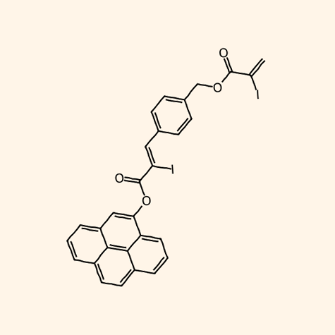 C=C(I)C(=O)OCc1ccc(/C=C(\I)C(=O)Oc2cc3cccc4ccc5cccc2c5c43)cc1